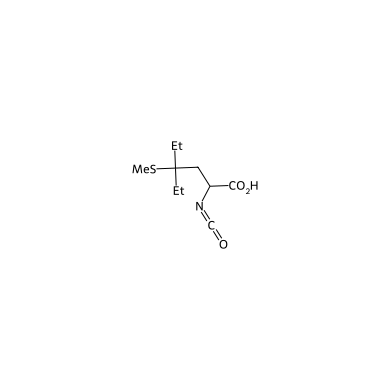 CCC(CC)(CC(N=C=O)C(=O)O)SC